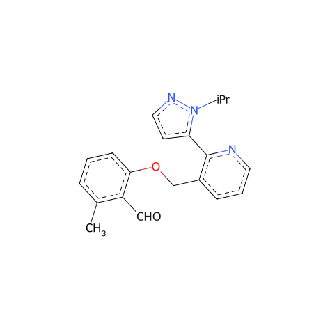 Cc1cccc(OCc2cccnc2-c2ccnn2C(C)C)c1C=O